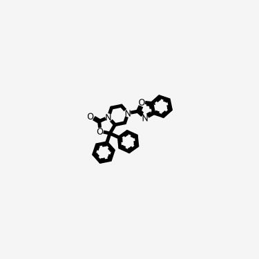 O=C1OC(c2ccccc2)(c2ccccc2)C2CN(c3nc4ccccc4o3)CCN12